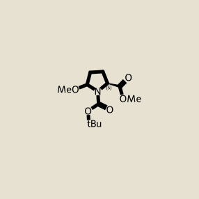 COC(=O)[C@@H]1CCC(OC)N1C(=O)OC(C)(C)C